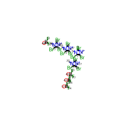 Cn1c(Br)c(Br)[n+](C)c1Br.Cn1c(Br)c(Br)[n+](C)c1Br.Cn1c(Br)c(Br)[n+](C)c1Br.Cn1c(Br)c(Br)[n+](C)c1Br.[O-]B(F)F.[O-]B(F)F.[O-]B(F)F.[O-]B(F)F